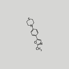 Cc1ncc(-c2ccc(N3CCSCC3)cc2)o1